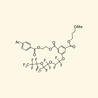 COCCCOC(=O)c1cc(OC(F)(F)C(F)OC(F)(F)C(F)(OC(F)(F)C(F)(F)C(F)(F)F)C(F)(F)F)cc(C(=O)OCCOC(=O)c2ccc(C(C)=O)cc2)c1